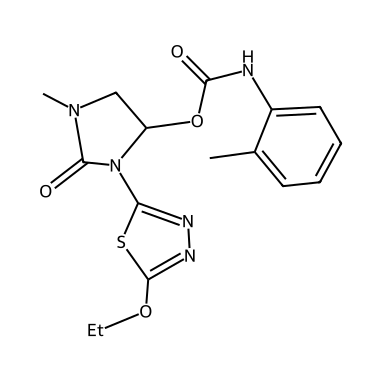 CCOc1nnc(N2C(=O)N(C)CC2OC(=O)Nc2ccccc2C)s1